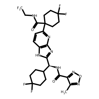 Cc1nonc1C(=O)N[C@H](c1nc2nc(C3(C(=O)NCC(F)(F)F)CCC(F)(F)CC3)ccc2[nH]1)C1CCC(F)(F)CC1